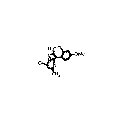 COc1ccc(-c2c(C)nn3c(Cl)cc(C)nc23)c(Cl)c1